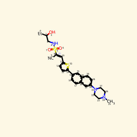 CCC(O)CNS(=O)(=O)/C(C#N)=C/c1ccc(-c2ccc3cc(N4CCN(C)CC4)ccc3c2)s1